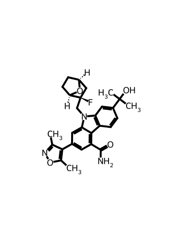 Cc1noc(C)c1-c1cc(C(N)=O)c2c3ccc(C(C)(C)O)cc3n(C[C@@]3(F)C[C@@H]4CC[C@H]3O4)c2c1